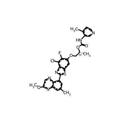 COc1cnc2c(-c3nc4c(Cl)c(F)c(OC[C@@H](C)OC(=O)Nc5cnccc5C)cc4s3)cc(C)cc2n1